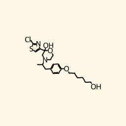 CC(Cc1ccc(OCCCCCCO)cc1)N1CCOC(O)(c2csc(Cl)n2)C1